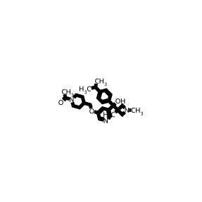 CC(=O)N1CCC(COc2cncc(C(O)(c3ccc(C(C)C)cc3)C3(C)CN(C)C3)c2)CC1